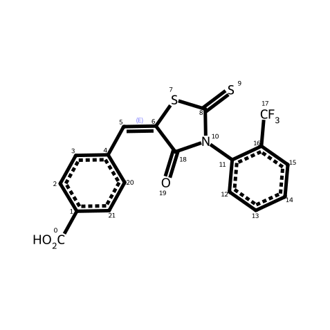 O=C(O)c1ccc(/C=C2/SC(=S)N(c3ccccc3C(F)(F)F)C2=O)cc1